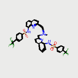 CN(Cc1ccc2cccc(NS(=O)(=O)c3ccc(C(F)(F)F)cc3)c2n1)Cc1ccc2cccc(NS(=O)(=O)c3ccc(C(F)(F)F)cc3)c2n1